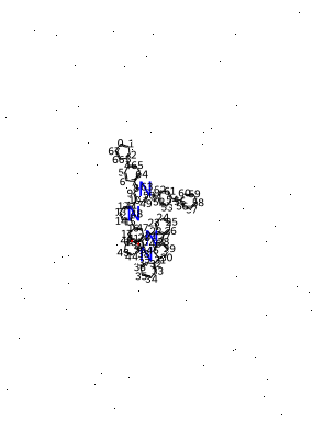 c1ccc(-c2ccc(-c3cc(-c4cccc(-c5cccc(-n6c7ccccc7c7ccc8c9ccccc9n(-c9ccccc9)c8c76)c5)n4)cc(-c4ccc(-c5ccccc5)cc4)n3)cc2)cc1